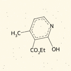 CCOC(=O)c1c(C)ccnc1O